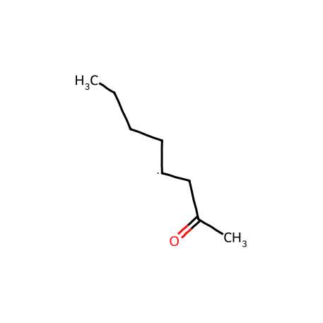 CCCC[CH]CC(C)=O